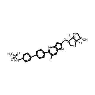 CS(=O)(=O)Nc1ccc(-c2ccc(-c3nc4cc(O[C@@H]5CO[C@H]6[C@@H]5OC[C@H]6O)[nH]c4cc3F)cc2)cc1